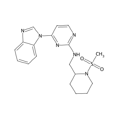 CS(=O)(=O)N1CCCCC1CNc1nccc(-n2cnc3ccccc32)n1